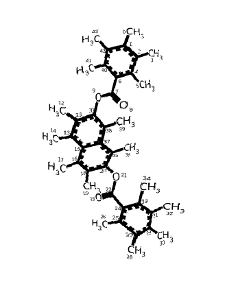 Cc1c(C)c(C)c(C(=O)Oc2c(C)c(C)c3c(C)c(C)c(OC(=O)c4c(C)c(C)c(C)c(C)c4C)c(C)c3c2C)c(C)c1C